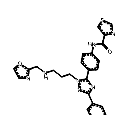 O=C(Nc1ccc(-c2nc(-c3cccc(C(F)(F)F)c3)nn2CCCNCc2ncco2)cc1)c1cscn1